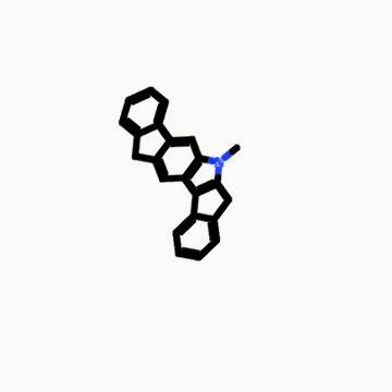 Cn1c2c(c3cc4c(cc31)-c1ccccc1C4)-c1ccccc1C2